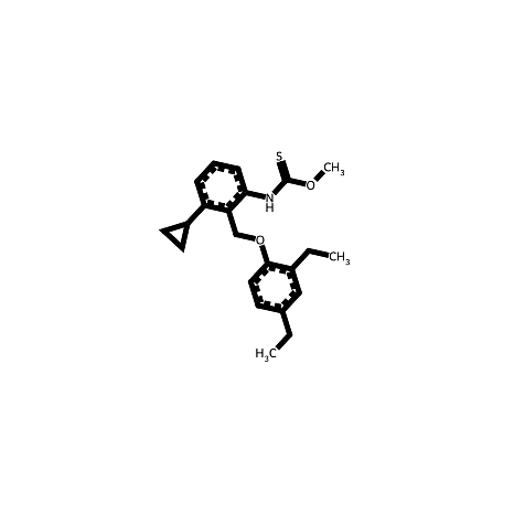 CCc1ccc(OCc2c(NC(=S)OC)cccc2C2CC2)c(CC)c1